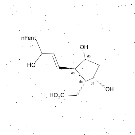 CCCCCC(O)C=C[C@@H]1[C@@H](CC(=O)O)[C@@H](O)C[C@H]1O